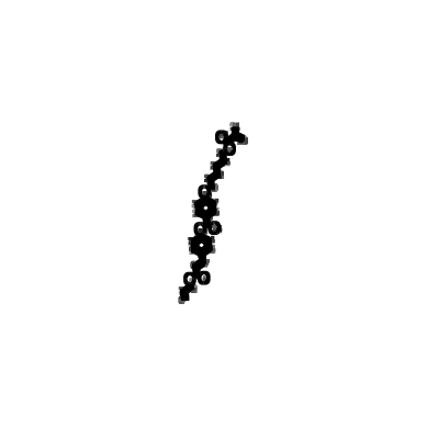 C=CCOC(=O)/C=C/c1ccc(OC(=O)c2ccc(OCCCCCCOC(=O)C(=C)C)cc2)cc1